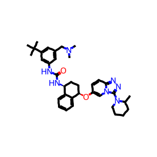 CC1CCCCN1c1nnc2ccc(O[C@@H]3CC[C@H](NC(=O)Nc4cc(CN(C)C)cc(C(C)(C)C)c4)c4ccccc43)cn12